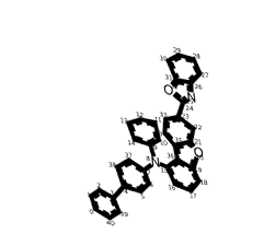 c1ccc(-c2ccc(N(c3ccccc3)c3cccc4oc5cc(-c6nc7ccccc7o6)ccc5c34)cc2)cc1